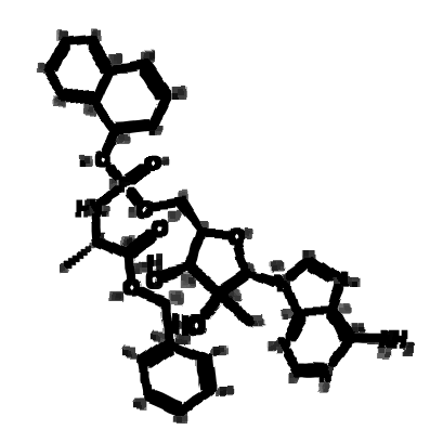 C[C@H](NP(=O)(OC[C@H]1O[C@@H](n2cnc3c(N)ncnc32)C(C)(O)[C@H]1O)Oc1cccc2ccccc12)C(=O)OCc1ccccc1